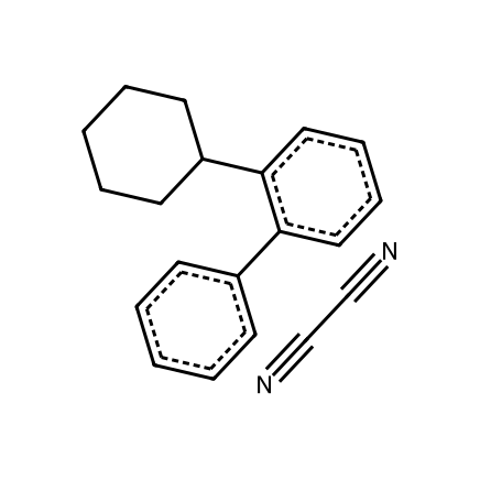 N#CC#N.c1ccc(-c2ccccc2C2CCCCC2)cc1